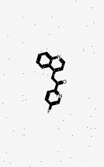 O=C(Cc1ccnc2ccccc12)c1ccc(F)cn1